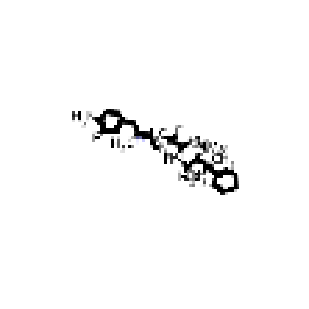 C=C(NC(C(C)(C)C)C(C)(F)N(CC)C/C=C(\C)Cc1ccc(N)c(F)c1)C(NC)C(C)(C)C1=CCCC=C1